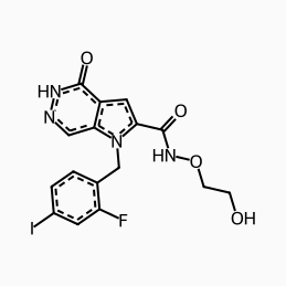 O=C(NOCCO)c1cc2c(=O)[nH]ncc2n1Cc1ccc(I)cc1F